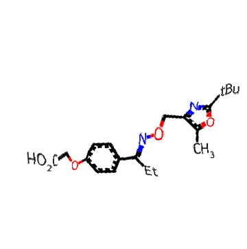 CCC(=NOCc1nc(C(C)(C)C)oc1C)c1ccc(OCC(=O)O)cc1